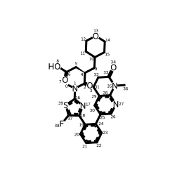 CN(C(=O)[C@@H](CC(=O)O)CC1CCOCC1)c1nc(-c2ccccc2-c2cnc3c(c2)CCC(=O)N3C)c(F)s1